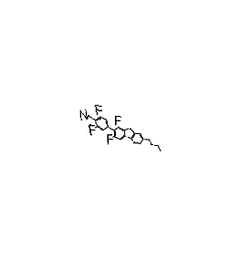 CCCCc1ccc2c(c1)Cc1c-2cc(F)c(-c2cc(F)c(C#N)c(F)c2)c1F